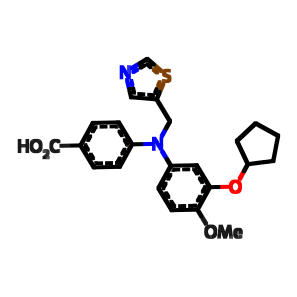 COc1ccc(N(Cc2cncs2)c2ccc(C(=O)O)cc2)cc1OC1CCCC1